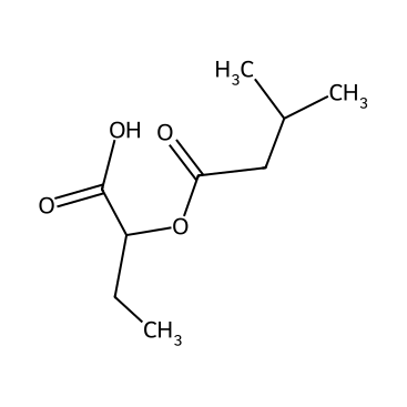 CCC(OC(=O)CC(C)C)C(=O)O